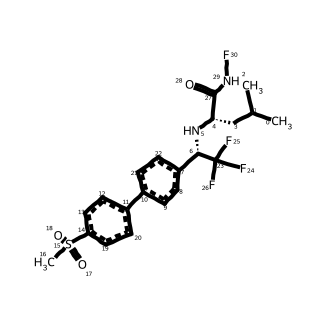 CC(C)C[C@H](N[C@@H](c1ccc(-c2ccc(S(C)(=O)=O)cc2)cc1)C(F)(F)F)C(=O)NF